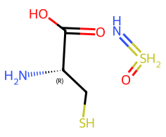 N=[SH2]=O.N[C@@H](CS)C(=O)O